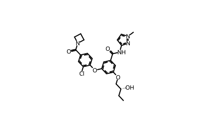 CC[C@@H](O)COc1cc(Oc2ccc(C(=O)N3CCC3)cc2Cl)cc(C(=O)Nc2ccn(C)n2)c1